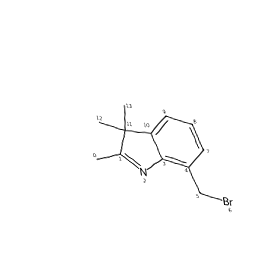 CC1=Nc2c(CBr)cccc2C1(C)C